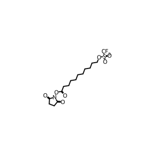 O=C(CCCCCCCCCCOS(=O)(=O)C(F)(F)F)ON1C(=O)CCC1=O